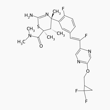 C[C@@H]1[C@@](C)(C(=O)N(C)C)SC(N)=N[C@]1(C)c1cc(/C=C(\F)c2cnc(OCC3CC3(F)F)cn2)ccc1F